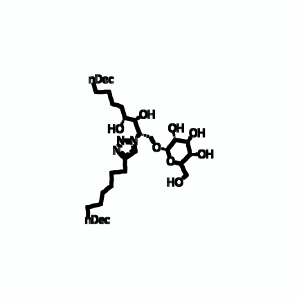 CCCCCCCCCCCCCCCCc1cn([C@@H](CO[C@H]2OC(CO)[C@H](O)[C@H](O)[C@H]2O)[C@H](O)[C@H](O)CCCCCCCCCCCCCC)nn1